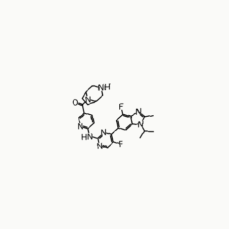 Cc1nc2c(F)cc(-c3nc(Nc4ccc(C(=O)N5C6CCC5CNC6)cn4)ncc3F)cc2n1C(C)C